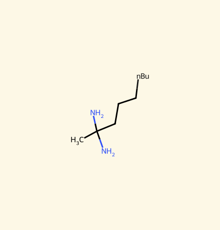 CCCCCCCC(C)(N)N